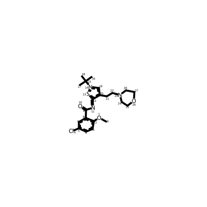 COc1ccc(Cl)cc1C(=O)N=c1sn(C(C)(C)C)cc1CCN1CCOCC1